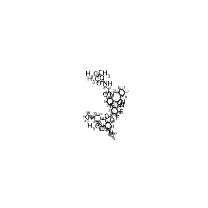 CC(C)(C)OC(=O)NCCC(=O)N1Cc2ccccc2-c2nnn(-c3c(F)cc(C(=O)OC4=C5C=CC(=[N+]6CCC6)C=C5[Si](C)(C)c5cc(N6CCC6)ccc54)c(F)c3F)c2-c2ccccc21